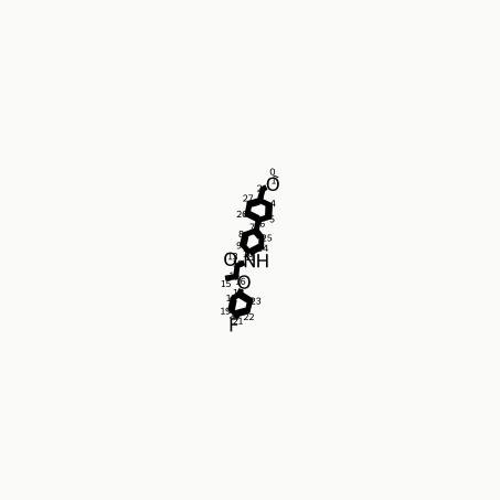 COCc1ccc(-c2ccc(NC(=O)C(C)Oc3ccc(F)cc3)cc2)cc1